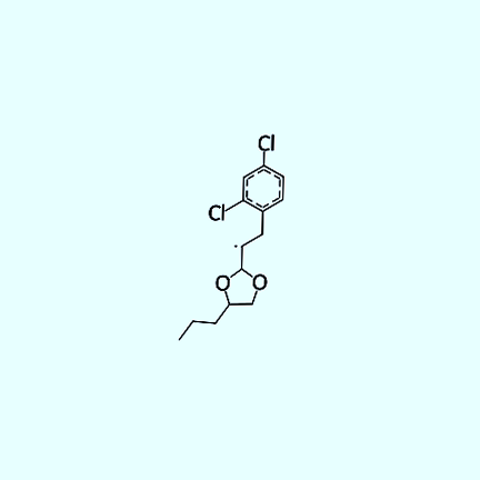 CCCC1COC([CH]Cc2ccc(Cl)cc2Cl)O1